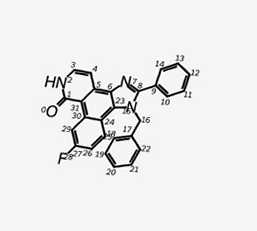 O=c1[nH]ccc2c3nc(-c4ccccc4)n(Cc4ccccc4)c3c3ccc(F)cc3c12